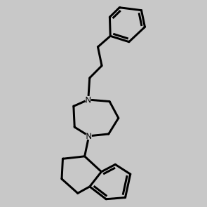 c1ccc(CCCN2CCCN(C3CCCc4ccccc43)CC2)cc1